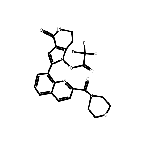 O=C1NCCc2c1cc(-c1cccc3ccc(C(=O)N4CCOCC4)nc13)n2OC(=O)C(F)(F)F